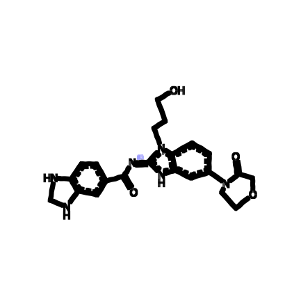 O=C(/N=c1\[nH]c2cc(N3CCOCC3=O)ccc2n1CCCO)c1ccc2c(c1)NCN2